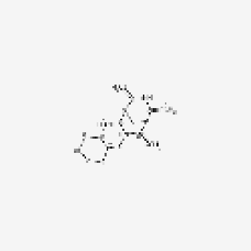 C=C1NC(=C)C2CC1C(=C)N(CC1CCCCC1)C2=C